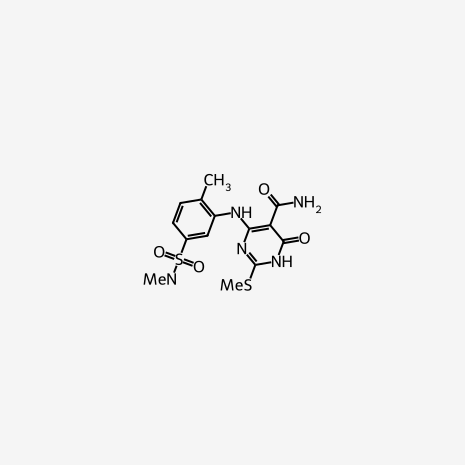 CNS(=O)(=O)c1ccc(C)c(Nc2nc(SC)[nH]c(=O)c2C(N)=O)c1